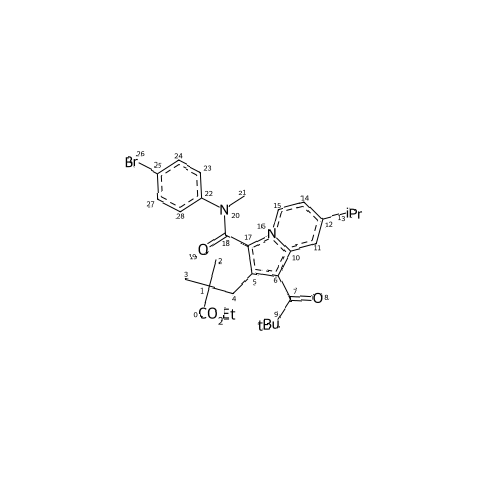 CCOC(=O)C(C)(C)Cc1c(C(=O)C(C)(C)C)c2cc(C(C)C)ccn2c1C(=O)N(C)c1ccc(Br)cc1